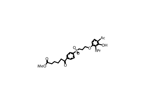 CCCc1c(OCCCS(=O)(=O)c2ccc(C(=O)CCCCC(=O)OC)cc2)ccc(C(C)=O)c1O